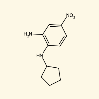 Nc1cc([N+](=O)[O-])ccc1NC1CCCC1